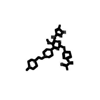 COc1c(Nc2cc(C)[nH]n2)nc(Sc2ccc(NC(C)=O)cc2)nc1C1CCN(CCN2CCN(C)CC2)CC1